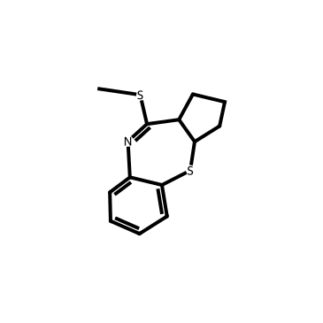 CSC1=Nc2ccccc2SC2CCCC12